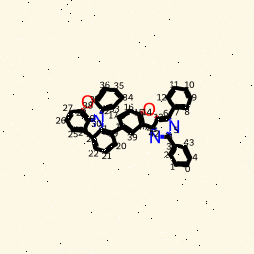 c1ccc(-c2nc(-c3ccccc3)c3oc4ccc(-c5cccc6c7cccc8c7n(c56)-c5ccccc5O8)cc4c3n2)cc1